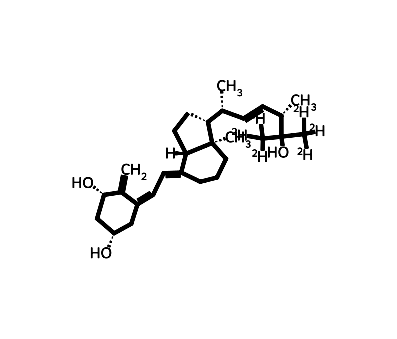 [2H]C([2H])([2H])C(O)([C@@H](C)/C=C/[C@@H](C)[C@H]1CC[C@H]2/C(=C/C=C3/C[C@H](O)C[C@H](O)C3=C)CCC[C@]12C)C([2H])([2H])[2H]